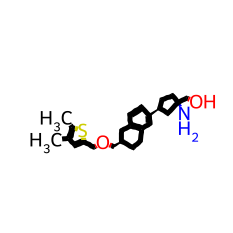 Cc1cc(COC[C@@H]2CCc3cc([C@H]4CC[C@](N)(CO)C4)ccc3C2)sc1C